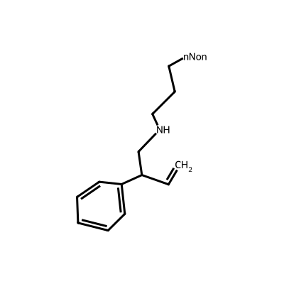 C=CC(CNCCCCCCCCCCCC)c1ccccc1